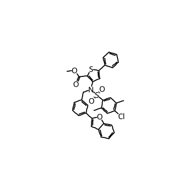 COC(=O)c1sc(-c2ccccc2)cc1N(Cc1cccc(-c2cc3ccccc3o2)c1)S(=O)(=O)c1cc(C)c(Cl)cc1C